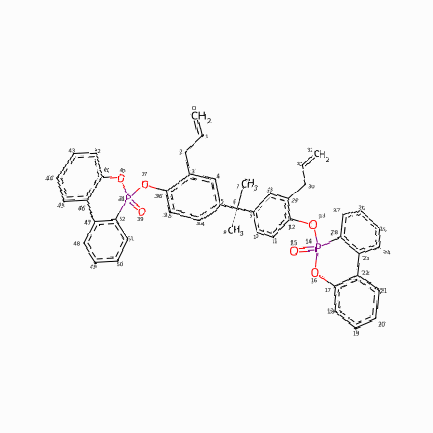 C=CCc1cc(C(C)(C)c2ccc(OP3(=O)Oc4ccccc4-c4ccccc43)c(CC=C)c2)ccc1OP1(=O)Oc2ccccc2-c2ccccc21